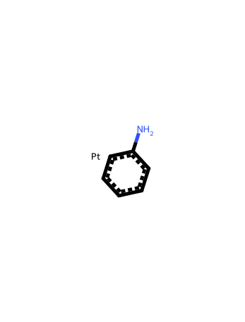 Nc1ccccc1.[Pt]